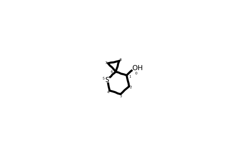 OC1CCCSC12CC2